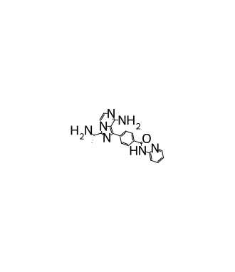 C[C@H](N)c1nc(-c2ccc(C(=O)Nc3ccccn3)cc2)c2c(N)nccn12